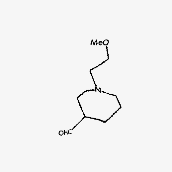 COCCN1CCCC(C=O)C1